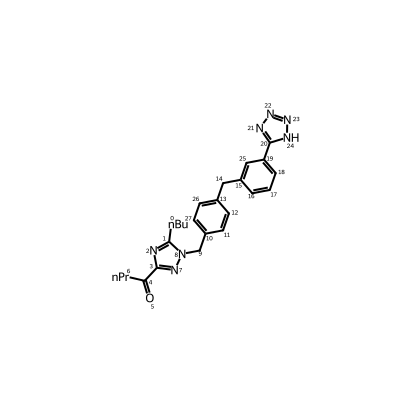 CCCCc1nc(C(=O)CCC)nn1Cc1ccc(Cc2cccc(-c3nnn[nH]3)c2)cc1